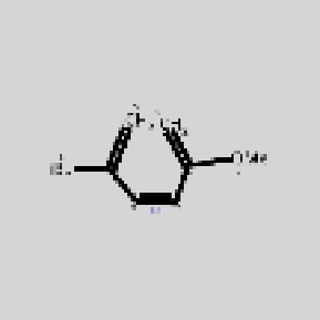 C=C(/C=C\C(=C)C(C)CC)OC